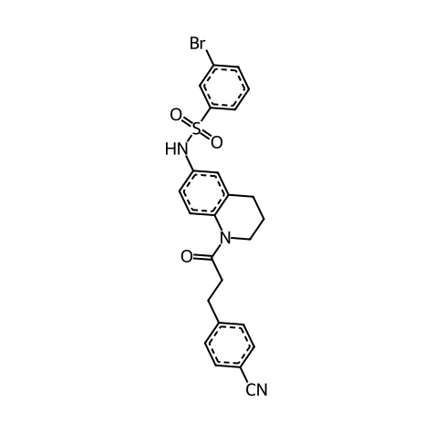 N#Cc1ccc(CCC(=O)N2CCCc3cc(NS(=O)(=O)c4cccc(Br)c4)ccc32)cc1